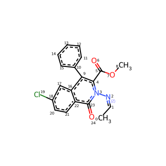 C/C=N\n1c(C(=O)OC)c(-c2ccccc2)c2cc(Cl)ccc2c1=O